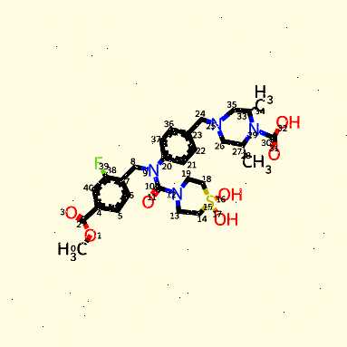 COC(=O)c1ccc(CN(C(=O)N2CCS(O)(O)CC2)c2ccc(CN3C[C@@H](C)N(C(=O)O)[C@@H](C)C3)cc2)c(F)c1